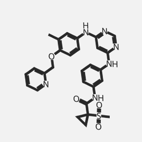 Cc1cc(Nc2cc(Nc3cccc(NC(=O)C4(S(C)(=O)=O)CC4)c3)ncn2)ccc1OCc1ccccn1